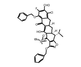 CN(C)[C@@H]1c2onc(OCc3ccccc3)c2C(=O)[C@@]2(O[Si](C)(C)C(C)(C)C)C(O)=C3C(=O)c4c(c(Cl)c(C=O)c(F)c4OCc4ccccc4)C[C@H]3C[C@@H]12